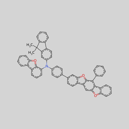 CC1(C)c2ccccc2-c2ccc(N(c3ccc(-c4ccc5c(c4)oc4c(-c6ccccc6)c6c(cc45)oc4ccccc46)cc3)c3cccc4c3oc3ccccc34)cc21